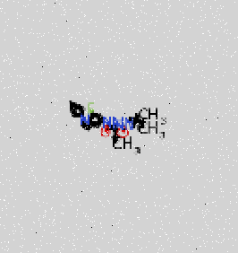 CCc1oc(N2CC(CC)(CC)C2)nc1C(=O)Nc1cc(F)c2c(c1)CCN2C1C=C2CC2C1